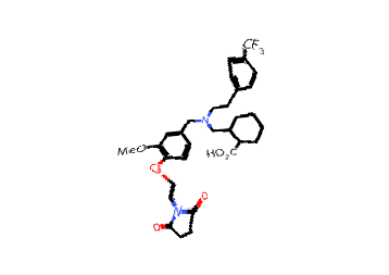 COc1cc(CN(CCc2ccc(C(F)(F)F)cc2)CC2CCCCC2C(=O)O)ccc1OCCN1C(=O)CCC1=O